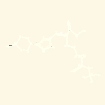 COC(=O)/C(=C/c1cn([C@H]2CC[C@H](C)CC2)cn1)CCCNC(=O)OC(C)(C)C